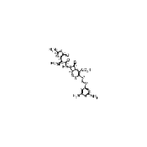 Nc1cc(SCSC2=C(C(=O)O)N3C(=O)C(NC(=O)C(=NO)c4nc(N)sc4Cl)C3SC2)nc(N)n1